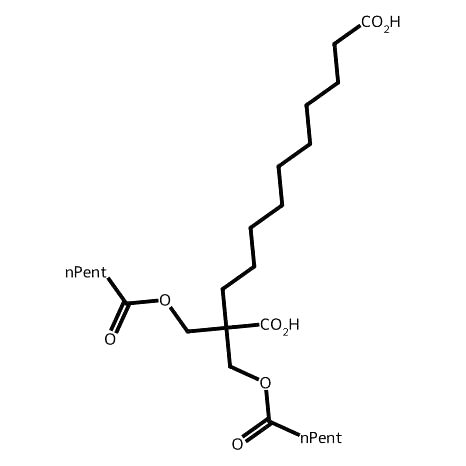 CCCCCC(=O)OCC(CCCCCCCCCC(=O)O)(COC(=O)CCCCC)C(=O)O